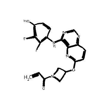 C=CC(=O)N1CC(Oc2ccc3ncnc(Nc4ccc(O)c(F)c4F)c3n2)C1